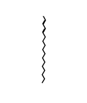 [CH2]C=CC=CCCCCCCCCCCCC